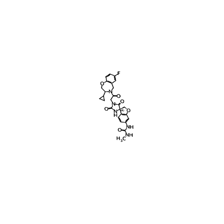 CNC(=O)Nc1ccc2c(c1)OC[C@]21NC(=O)N(CC(=O)N2Cc3cc(F)ccc3OCC2C2CC2)C1=O